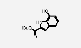 CC(C)COC(=O)c1cc2cccc(O)c2[nH]1